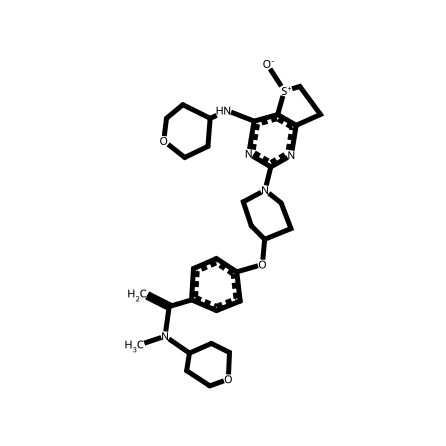 C=C(c1ccc(OC2CCN(c3nc4c(c(NC5CCOCC5)n3)[S+]([O-])CC4)CC2)cc1)N(C)C1CCOCC1